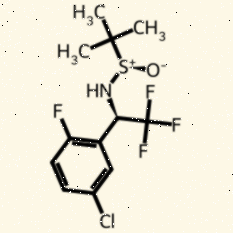 CC(C)(C)[S@@+]([O-])N[C@H](c1cc(Cl)ccc1F)C(F)(F)F